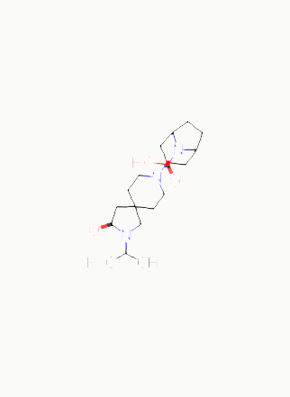 CC(C)N1CC2(CCN(C3CC4CCC(C3)N4C(=O)O)CC2)CC1=O